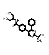 CN(C)c1ncc(-c2ccc(C(=O)NC(CO)CO)cc2)c(-c2ccccc2)n1